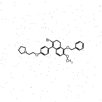 COc1ccc2c(c1OCc1ccccc1)CCC(Br)=C2c1ccc(OCCN2CCCC2)cc1